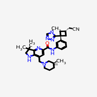 C[C@H]1CCCN(Cc2cc(C(=O)Nc3cccc([C@]4(c5nncn5C)C[C@@H](CC#N)C4)c3)nc3c2NCC3(C)C)C1